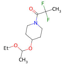 CCOC(C)OC1CCN(C(=O)C(C)(F)F)CC1